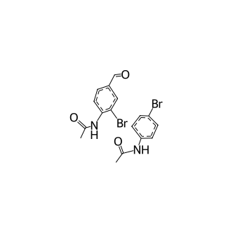 CC(=O)Nc1ccc(Br)cc1.CC(=O)Nc1ccc(C=O)cc1Br